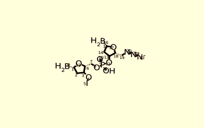 B[C@H]1CC(OI)[C@@H](COP(=O)(O)OC2C[C@H](B)O[C@@H]2CN=[N+]=[N-])O1